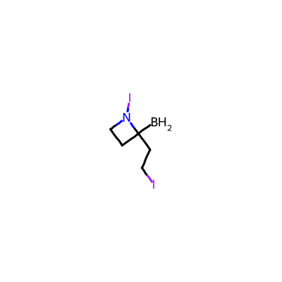 BC1(CCI)CCN1I